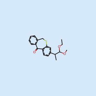 CCOC(OC)C(C)c1ccc2c(c1)SCc1ccccc1C2=O